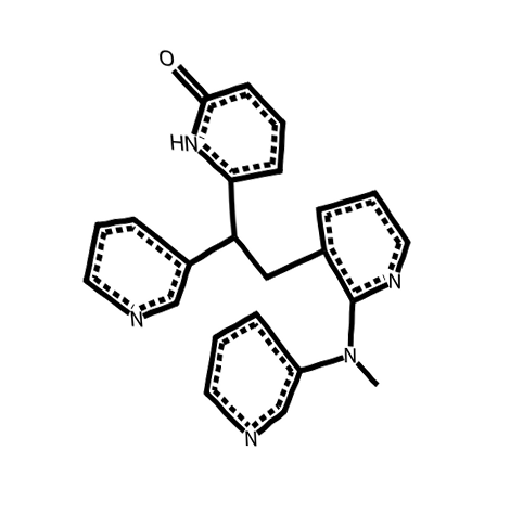 CN(c1cccnc1)c1ncccc1CC(c1cccnc1)c1cccc(=O)[nH]1